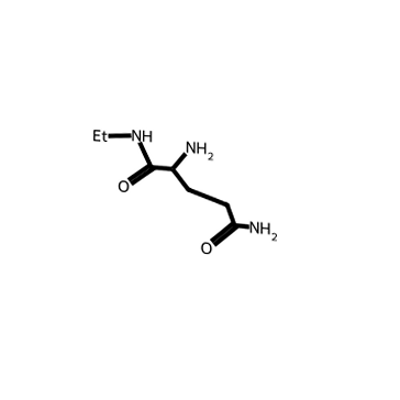 CCNC(=O)C(N)CCC(N)=O